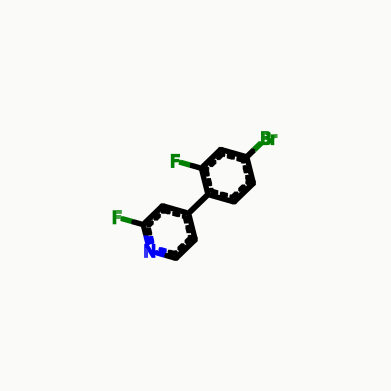 Fc1cc(-c2ccc(Br)cc2F)ccn1